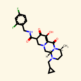 C[C@H]1CCN(CC2CC2)[C@@H]2CN3CC(C(=O)NCc4ccc(F)cc4F)C(=O)C(O)=C3C(=O)N12